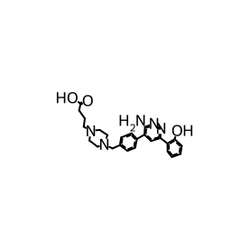 Nc1nnc(-c2ccccc2O)cc1-c1ccc(CN2CCN(CCCC(=O)O)CC2)cc1